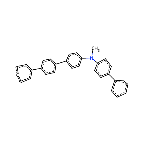 CN(c1ccc(-c2ccccc2)cc1)c1ccc(-c2ccc(-c3ccccc3)cc2)cc1